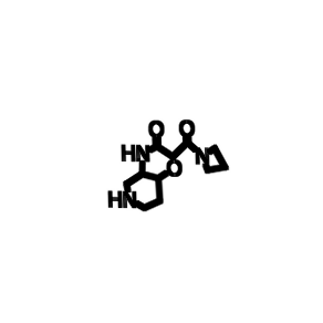 O=C1NC2CNCCC2OC1C(=O)N1CCC1